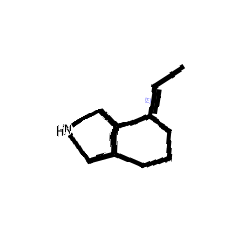 C/C=C1\CCCC2CNCC12